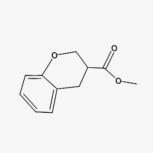 COC(=O)C1COc2ccccc2C1